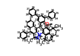 Cc1nn2c3c(c4ccccc4c(-c4ccccc4)c13)B1c3cc(-c4ccccc4)cc(-c4ccccc4)c3Oc3c1c-2c1c2c3C(C)(C)CCC2(C)CCC1(C)C